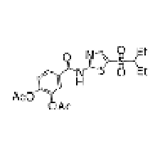 CCC(CC)S(=O)(=O)c1cnc(NC(=O)c2ccc(OC(C)=O)c(OC(C)=O)c2)s1